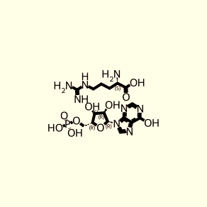 N=C(N)NCCC[C@H](N)C(=O)O.O=P(O)(O)OC[C@H]1O[C@@H](n2cnc3c(O)ncnc32)[C@H](O)[C@@H]1O